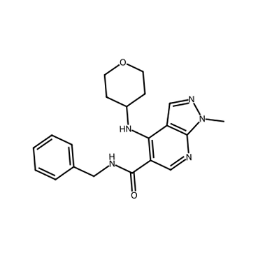 Cn1ncc2c(NC3CCOCC3)c(C(=O)NCc3ccccc3)cnc21